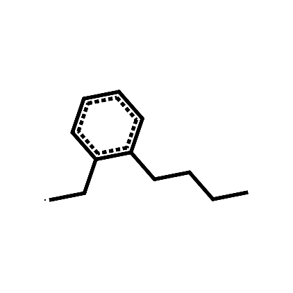 [CH2]Cc1ccccc1CCCC